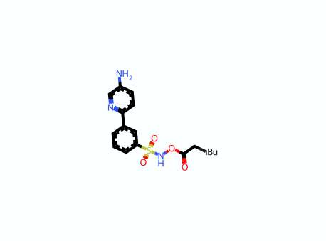 CCC(C)CC(=O)ONS(=O)(=O)c1cccc(-c2ccc(N)cn2)c1